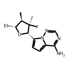 CC[C@H]1O[C@@H](c2ccc3c(N)ncnn23)[C@](C)(F)[C@@H]1C